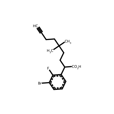 C#CCCC(C)(C)CCC(C(=O)O)c1cccc(Br)c1F